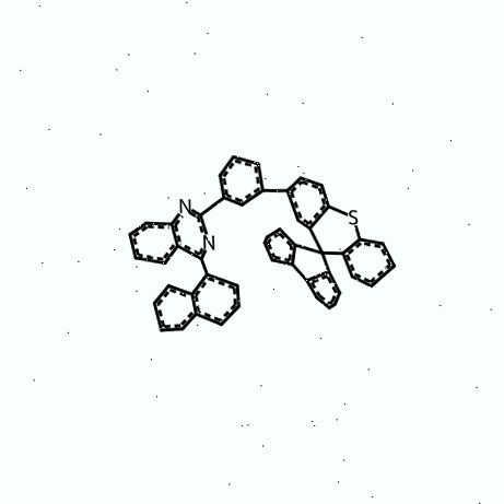 c1cc(-c2ccc3c(c2)C2(c4ccccc4S3)c3ccccc3-c3ccccc32)cc(-c2nc(-c3cccc4ccccc34)c3ccccc3n2)c1